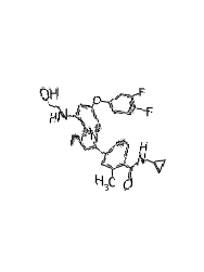 Cc1cc(-c2cnc3c(NCCO)cc(Oc4ccc(F)c(F)c4)cn23)ccc1C(=O)NC1CC1